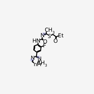 CCC/C=N\C(=N/C)c1ccc(NC(=O)/N=C(/C)SCC(=O)CC)c(F)c1